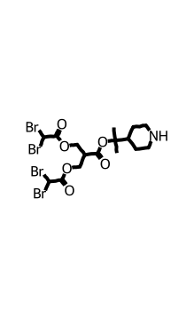 CC(C)(OC(=O)C(COC(=O)C(Br)Br)COC(=O)C(Br)Br)C1CCNCC1